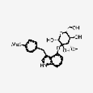 CSc1ccc(Cc2c[nH]c3cccc(O[C@]4(O)[C@H](O)O[C@H](CO)[C@@H](O)[C@@H]4O)c23)cc1